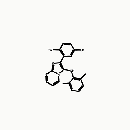 Cc1cccc(C)c1Nc1c(-c2cc(Br)ccc2O)nc2ncccn12